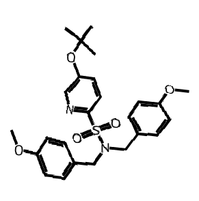 COc1ccc(CN(Cc2ccc(OC)cc2)S(=O)(=O)c2ccc(OC(C)(C)C)cn2)cc1